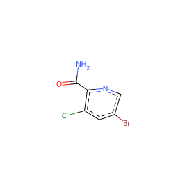 NC(=O)c1ncc(Br)cc1Cl